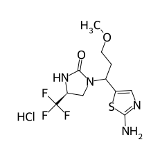 COCCC(c1cnc(N)s1)N1C[C@@H](C(F)(F)F)NC1=O.Cl